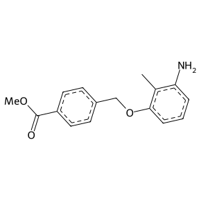 COC(=O)c1ccc(COc2cccc(N)c2C)cc1